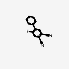 N#Cc1cc(F)c(-c2ccccc2)cc1C#N